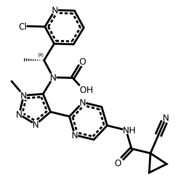 C[C@H](c1cccnc1Cl)N(C(=O)O)c1c(-c2ncc(NC(=O)C3(C#N)CC3)cn2)nnn1C